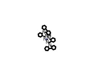 N=C(/N=c1/nc(-n2c3ccccc3c3ccccc32)c2ccccc2[nH]1)c1ccccc1-n1c2ccccc2c2ccccc21